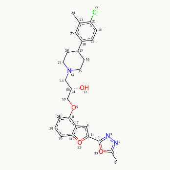 Cc1nnc(-c2cc3c(OC[C@@H](O)CN4CCC(c5ccc(Cl)c(C)c5)CC4)cccc3o2)o1